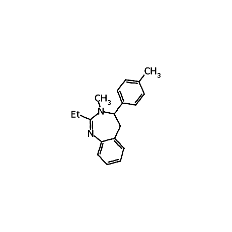 CCC1=Nc2ccccc2CC(c2ccc(C)cc2)N1C